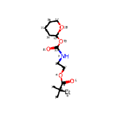 CCC(C)(C)C(=O)OCCNC(=O)OC1CCCCO1